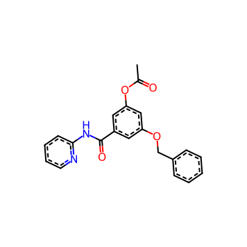 CC(=O)Oc1cc(OCc2ccccc2)cc(C(=O)Nc2ccccn2)c1